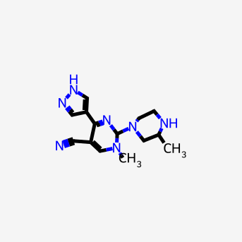 CC1CN(C2N=C(c3cn[nH]c3)C(C#N)=CN2C)CCN1